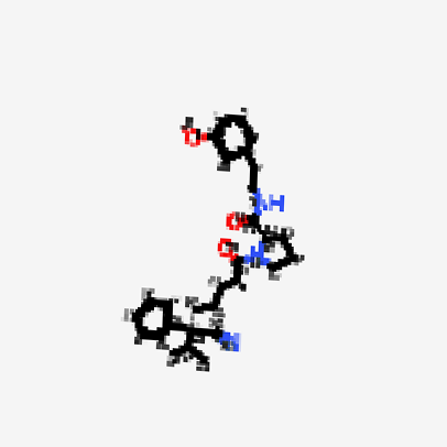 COc1cccc(CCNC(=O)[C@H]2CCCN2C(=O)CCCC[C@@](C#N)(c2ccccc2)C(C)C)c1